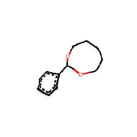 c1ccc(C2OCCCCCO2)cc1